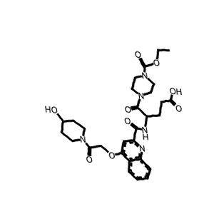 CCOC(=O)N1CCN(C(=O)C(CCC(=O)O)NC(=O)c2cc(OCC(=O)N3CCC(O)CC3)c3ccccc3n2)CC1